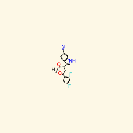 CC(=O)C(CC(=O)c1ccc(F)cc1F)c1c[nH]c2cc(C#N)ccc12